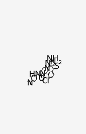 CN(C)c1ccc(NC(=O)N2CCN(c3nc(N)nc4scc(-c5ccc(Cl)cc5)c34)CC2)cc1